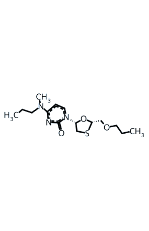 CCCOC[C@H]1O[C@@H](n2ccc(N(C)CCC)nc2=O)CS1